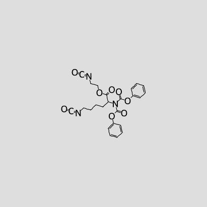 O=C=NCCCCC(C(=O)OCCN=C=O)N(C(=O)Oc1ccccc1)C(=O)Oc1ccccc1